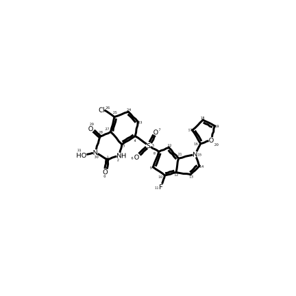 O=c1[nH]c2c(S(=O)(=O)c3cc(F)c4ccn(-c5ccco5)c4c3)ccc(Cl)c2c(=O)n1O